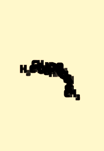 CC(C)N1CCC(Oc2cc(C(=O)Nc3cc4cc(-c5cnn(C)c5)ncc4cn3)ccn2)CC1